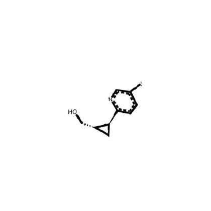 OC[C@H]1C[C@@H]1c1ccc(I)cn1